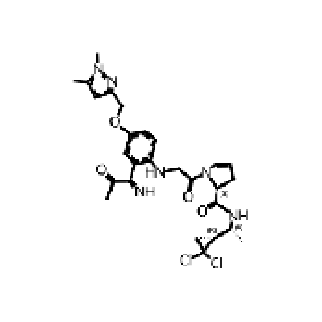 CC(=O)C(=N)c1cc(OCc2cc(C)n(C)n2)ccc1NCC(=O)N1C=CC[C@H]1C(=O)N[C@H](C)[C@H]1CC1(Cl)Cl